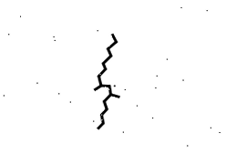 CCCCCCCC(C)[CH]C(C)CCCCC